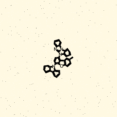 Cc1ccc2oc3c(-n4c5ccccc5c5ccccc54)ccc(-n4c5ccccc5n5c6ccccc6nc45)c3c2c1